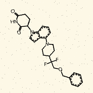 O=C1CCC(n2ccc3c(N4CCC(C(F)(F)COCc5ccccc5)CC4)cccc32)C(=O)N1